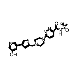 CS(=O)(=O)NC(=O)c1ccc(N2CCN(Cc3cc(-c4cncc(O)c4)cs3)CC2)nn1